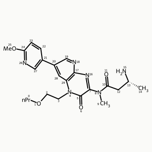 CCCOCCn1c(=O)c(N(C)C(=O)C[C@@H](C)N)nc2ncc(-c3ccc(OC)nc3)cc21